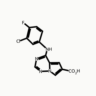 O=C(O)c1cc2c(Nc3ccc(F)c(Cl)c3)ncnn2c1